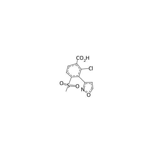 CS(=O)(=O)c1ccc(C(=O)O)c(Cl)c1-c1ccon1